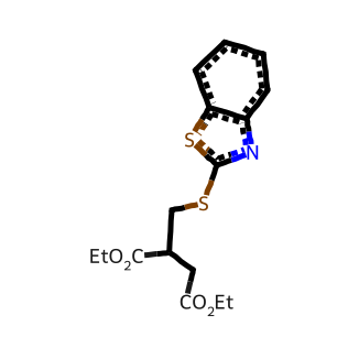 CCOC(=O)CC(CSc1nc2ccccc2s1)C(=O)OCC